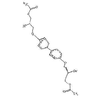 CC(=O)OCC(O)COc1ccc(-c2ccc(OCC(O)COC(C)=O)cc2)cc1